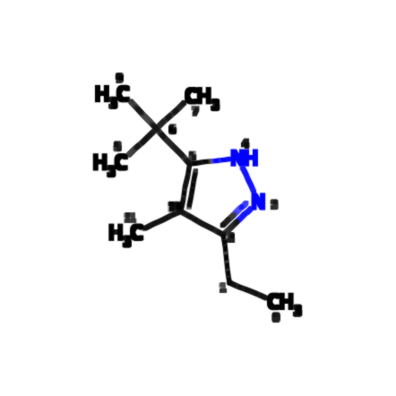 CCc1n[nH]c(C(C)(C)C)c1C